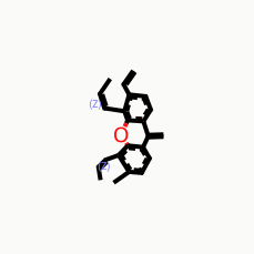 C=Cc1ccc2c(c1/C=C\C)Oc1c(ccc(C)c1/C=C\C)C2=C